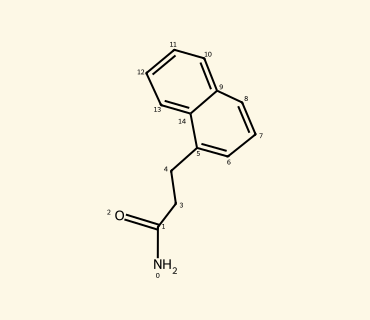 NC(=O)CCc1cccc2ccccc12